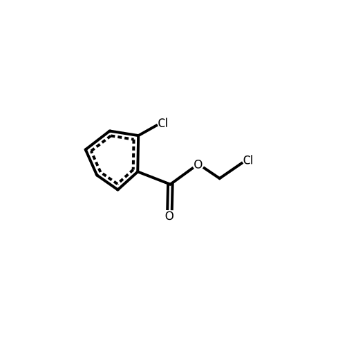 O=C(OCCl)c1ccccc1Cl